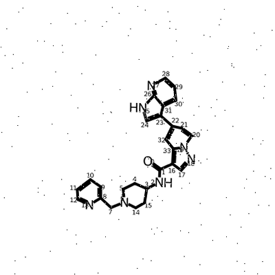 O=C(NC1CCN(Cc2ccccn2)CC1)c1cnn2ccc(-c3c[nH]c4ncccc34)cc12